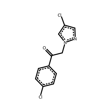 O=C(Cn1cc(Cl)cn1)c1ccc(Cl)cc1